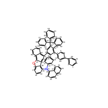 c1ccc(-c2ccc(-c3cc(-c4cc5c(oc6cccc(N(c7ccccc7)c7cccc8ccccc78)c65)c5ccccc45)cc4c3-c3ccccc3C4(c3ccccc3)c3ccccc3)cc2)cc1